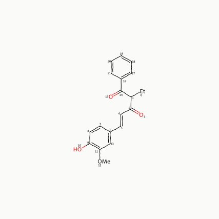 CCC(C(=O)/C=C/c1ccc(O)c(OC)c1)C(=O)c1ccccc1